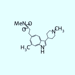 CNS(=O)(=O)CCC1=C/C=c2/c(C3CCN(C)CC3)c[nH]/c2=C/C(C)=C\1